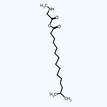 CNCC(=O)OC(=O)CCCCCCCCCCCCC(C)C